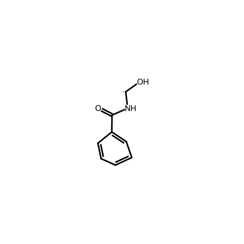 O=C(N[CH]O)c1ccccc1